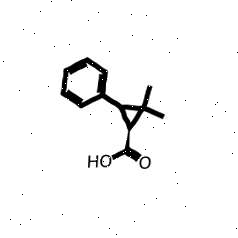 CC1(C)C(c2ccccc2)[C@@H]1C(=O)O